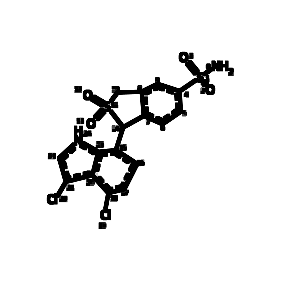 NS(=O)(=O)c1ccc2c(c1)CS(=O)(=O)C2c1ccc(Cl)c2c(Cl)c[nH]c12